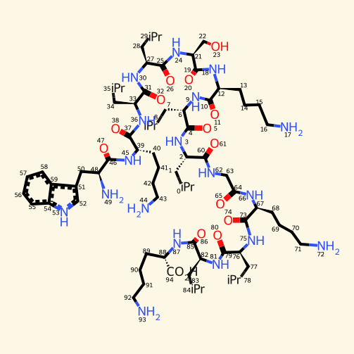 CC(C)C[C@H](NC(=O)[C@H](CC(C)C)NC(=O)[C@H](CCCCN)NC(=O)[C@H](CO)NC(=O)[C@H](CC(C)C)NC(=O)[C@H](CC(C)C)NC(=O)[C@H](CCCCN)NC(=O)[C@@H](N)Cc1c[nH]c2ccccc12)C(=O)NCC(=O)N[C@@H](CCCCN)C(=O)N[C@@H](CC(C)C)C(=O)N[C@@H](CC(C)C)C(=O)N[C@@H](CCCCN)C(=O)O